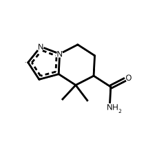 CC1(C)c2c[c]nn2CCC1C(N)=O